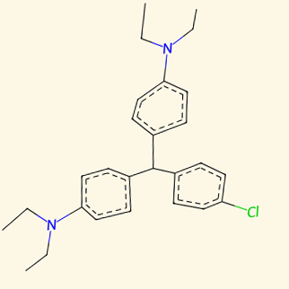 CCN(CC)c1ccc(C(c2ccc(Cl)cc2)c2ccc(N(CC)CC)cc2)cc1